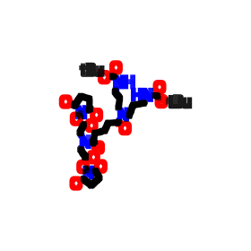 CC(C)(C)OC(=O)NCCCN(CCCNC(=O)OC(C)(C)C)C(=O)CCCC(=O)N(CC(=O)ON1C(=O)CCC1=O)CC(=O)ON1C(=O)CCC1=O